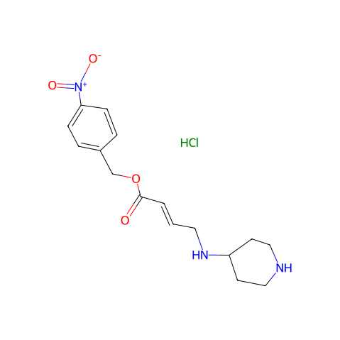 Cl.O=C(C=CCNC1CCNCC1)OCc1ccc([N+](=O)[O-])cc1